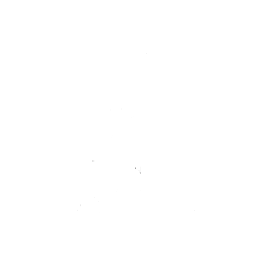 CS(=O)(=O)c1cc2n(c1C(=O)c1ccc(C3CCCCC3)cc1)CCC2C(=O)O